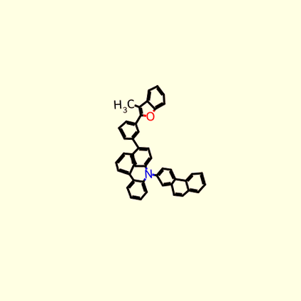 Cc1c(-c2cccc(-c3ccc(N(c4ccc5c(ccc6ccccc65)c4)c4ccccc4-c4ccccc4)cc3)c2)oc2ccccc12